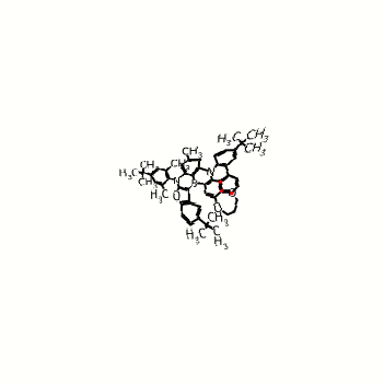 Cc1cc2c3c(c1)N(c1c(C)cc(C(C)(C)C)cc1C)c1oc4ccc(C(C)(C)C)cc4c1B3c1cc3c(cc1N2c1ccc(C(C)(C)C)cc1-c1ccccc1)OCCCO3